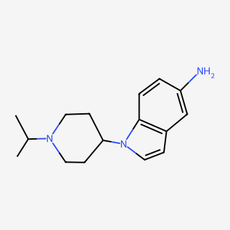 CC(C)N1CCC(n2ccc3cc(N)ccc32)CC1